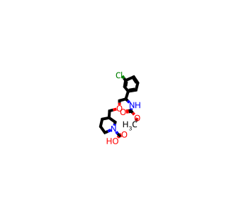 COC(=O)NC(COCC1CCCN(C(=O)O)C1)c1cccc(Cl)c1